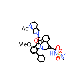 COc1ccc(C2CCCCC2)c2c1cc1n2CC2=C(C(=O)NS(=O)(=O)N(C)C)C2=C2C=CC[C@@H](C(=O)N3CC4CCCN(C(C)=O)C4C3)[C@@H]21